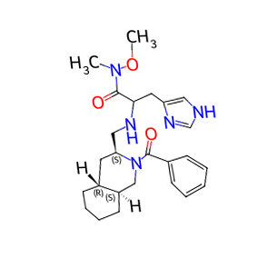 CON(C)C(=O)C(Cc1c[nH]cn1)NC[C@@H]1C[C@H]2CCCC[C@@H]2CN1C(=O)c1ccccc1